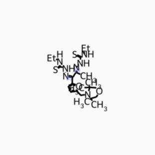 CCNC(=S)N/N=C(C)/C(=N\NC(=S)NCC)c1ccc(CN2C(C)(C)COCC2(C)C)o1